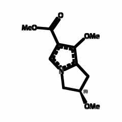 COC(=O)c1cn2c(c1OC)C[C@@H](OC)C2